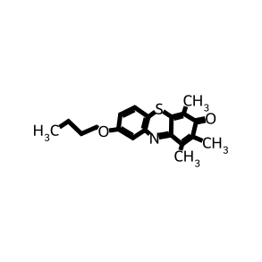 CCCCOc1ccc2sc3c(C)c(=O)c(C)c(C)c-3nc2c1